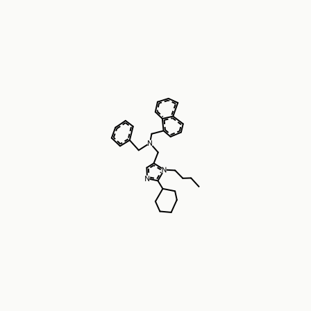 CCCCn1c(CN(Cc2ccccc2)Cc2cccc3ccccc23)cnc1C1CCCCC1